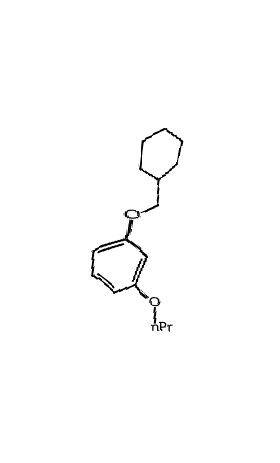 CCCOc1cccc(OCC2CCCCC2)c1